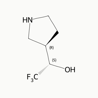 O[C@@H]([C@@H]1CCNC1)C(F)(F)F